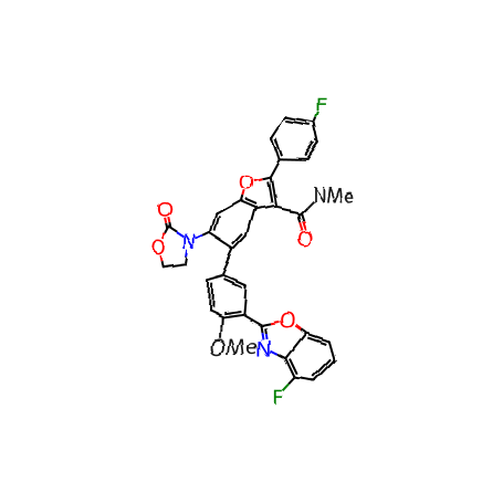 CNC(=O)c1c(-c2ccc(F)cc2)oc2cc(N3CCOC3=O)c(-c3ccc(OC)c(-c4nc5c(F)cccc5o4)c3)cc12